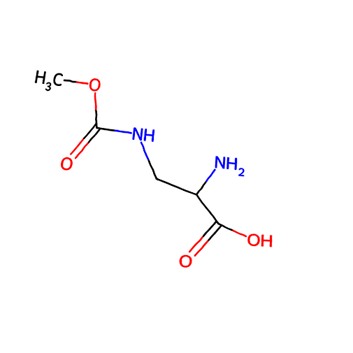 COC(=O)NCC(N)C(=O)O